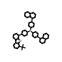 CC(C)(C)c1cccc2c1oc1c(-c3ccc(N(c4ccc(-c5cccc6ccccc56)cc4)c4ccc(-c5cccc6ccccc56)cc4)cc3)cccc12